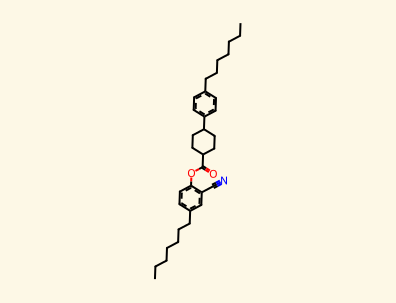 CCCCCCCc1ccc(C2CCC(C(=O)Oc3ccc(CCCCCCC)cc3C#N)CC2)cc1